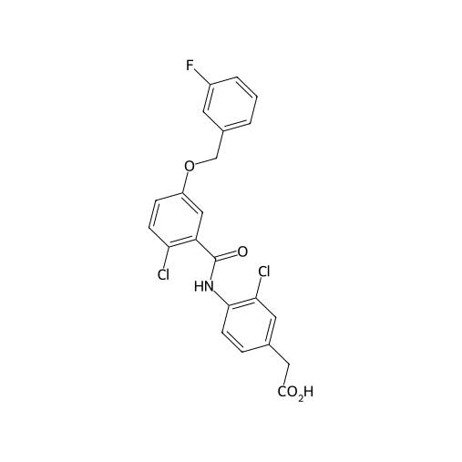 O=C(O)Cc1ccc(NC(=O)c2cc(OCc3cccc(F)c3)ccc2Cl)c(Cl)c1